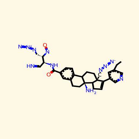 CCc1cncc(C2=CCC3[C@]2(CN=[N+]=[N-])CCC2c4ccc(C(=O)N[C@@H](C=N)[C@H](CN=[N+]=[N-])N=O)cc4CC[C@]23N)c1